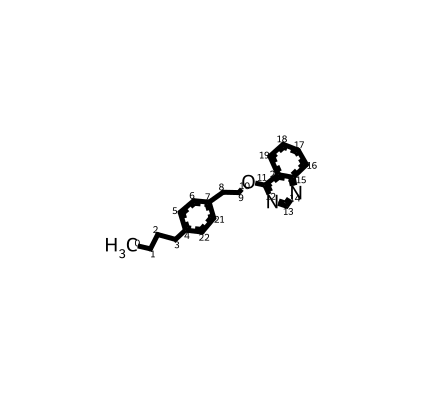 CCCCc1ccc(CCOc2ncnc3ccccc23)cc1